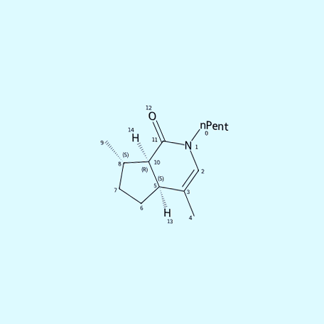 CCCCCN1C=C(C)[C@H]2CC[C@H](C)[C@H]2C1=O